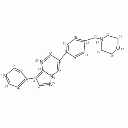 c1cc(-c2cnn3cc(-c4ccc(CN5CCOCC5)cc4)cnc23)ccn1